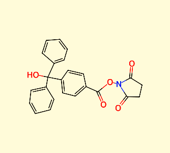 O=C(ON1C(=O)CCC1=O)c1ccc(C(O)(c2ccccc2)c2ccccc2)cc1